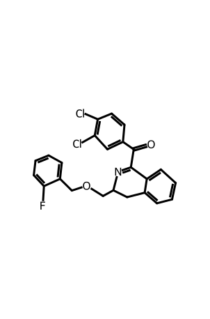 O=C(C1=NC(COCc2ccccc2F)Cc2ccccc21)c1ccc(Cl)c(Cl)c1